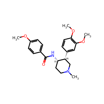 COc1ccc(C(=O)N[C@H]2CCN(C)C[C@H]2c2ccc(OC)c(OC)c2)cc1